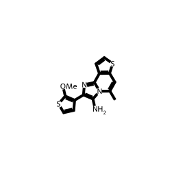 COc1sccc1-c1nc2c3ccsc3cc(C)n2c1N